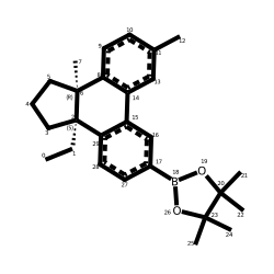 CC[C@]12CCC[C@@]1(C)c1ccc(C)cc1-c1cc(B3OC(C)(C)C(C)(C)O3)ccc12